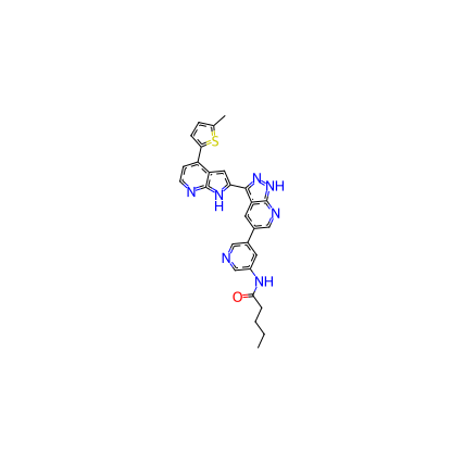 CCCCC(=O)Nc1cncc(-c2cnc3[nH]nc(-c4cc5c(-c6ccc(C)s6)ccnc5[nH]4)c3c2)c1